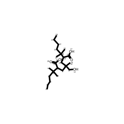 CCCCC(C)(C)C(CC(C)(CO)CC(C(=O)O)C(C)(C)CCCC)C(=O)O